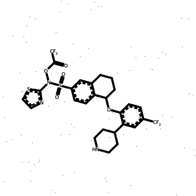 O=C(ON(c1nccs1)S(=O)(=O)c1ccc2c(c1)CCCC2Oc1ccc(C(F)(F)F)cc1C1CCNCC1)C(F)(F)F